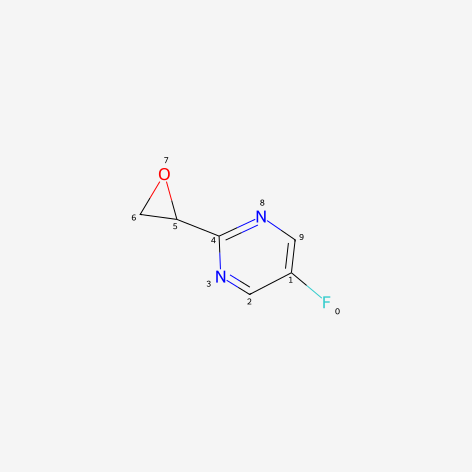 Fc1cnc(C2CO2)nc1